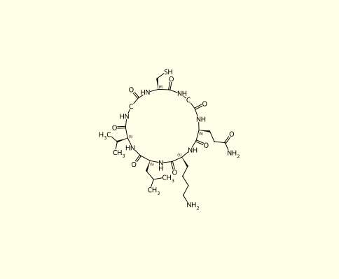 CC(C)C[C@@H]1NC(=O)[C@H](CCCCN)NC(=O)[C@H](CCC(N)=O)NC(=O)CNC(=O)[C@H](CS)NC(=O)CNC(=O)[C@H](C(C)C)NC1=O